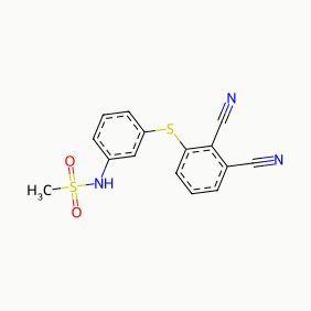 CS(=O)(=O)Nc1cccc(Sc2cccc(C#N)c2C#N)c1